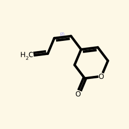 C=C/C=C\C1=CCOC(=O)C1